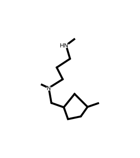 CNCCCN(C)CC1CCC(C)C1